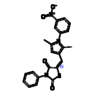 Cc1cc(/C=C2/SC(=O)N(c3ccccc3)C2=O)c(C)n1-c1cccc([N+](=O)[O-])c1